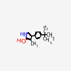 Cc1c(-c2ccc(C(C)(C)C)cc2)c[nH]c1O